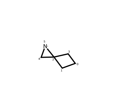 C1CC2(C1)C[N]2